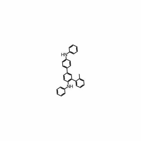 Cc1ccccc1-c1cc(-c2ccc(Nc3ccccc3)cc2)ccc1Nc1ccccc1